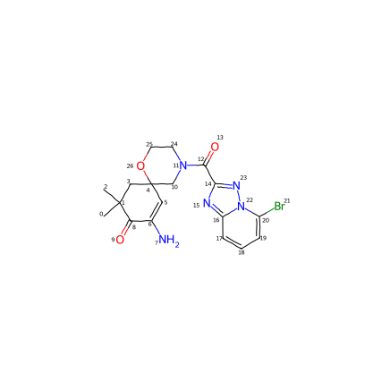 CC1(C)CC2(C=C(N)C1=O)CN(C(=O)c1nc3cccc(Br)n3n1)CCO2